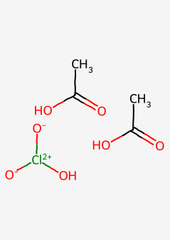 CC(=O)O.CC(=O)O.[O-][Cl+2]([O-])O